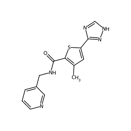 Cc1cc(-c2nc[nH]n2)sc1C(=O)NCc1cccnc1